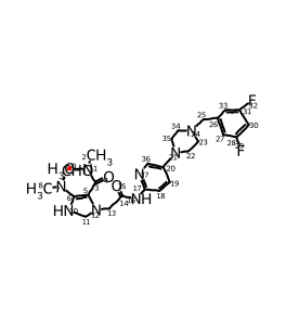 CN(C)C(=O)C1=C(N(C)C=O)NCN1CC(=O)Nc1ccc(N2CCN(Cc3cc(F)cc(F)c3)CC2)cn1